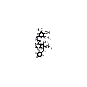 Cc1cc(/C=N\Nc2ncnc3c2c(C)c(C)n3Cc2ccccc2)cc(C)c1O